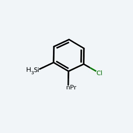 CCCc1c([SiH3])cccc1Cl